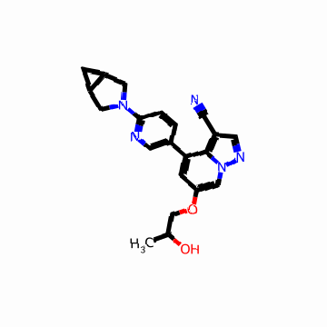 CC(O)COc1cc(-c2ccc(N3CC4CC4C3)nc2)c2c(C#N)cnn2c1